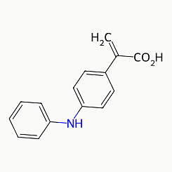 C=C(C(=O)O)c1ccc(Nc2ccccc2)cc1